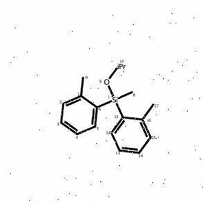 Cc1ccccc1[Si](C)(OC(C)C)c1ccccc1C